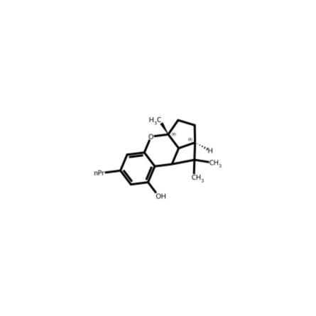 CCCc1cc(O)c2c(c1)O[C@]1(C)CC[C@@H]3C1C2C3(C)C